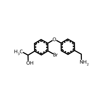 CC(O)c1ccc(Oc2ccc(CN)cc2)c(Br)c1